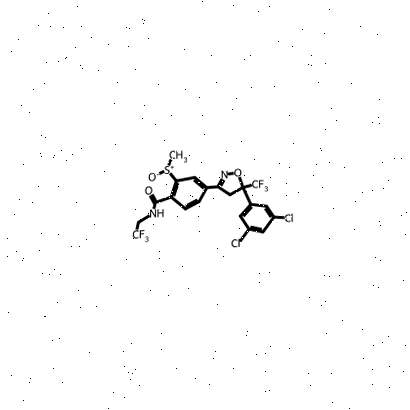 C[S+]([O-])c1cc(C2=NOC(c3cc(Cl)cc(Cl)c3)(C(F)(F)F)C2)ccc1C(=O)NCC(F)(F)F